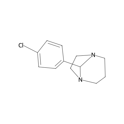 Clc1ccc(C2N3CCCN2CC3)cc1